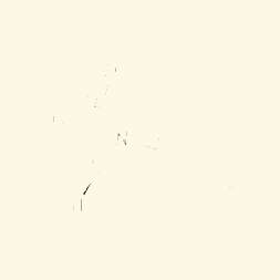 O=C1OC[C@H]2Cc3ccccc3N12